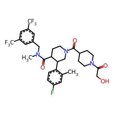 Cc1cc(F)ccc1C1CN(C(=O)C2CCN(C(=O)CO)CC2)CCC1C(=O)N(C)Cc1cc(C(F)(F)F)cc(C(F)(F)F)c1